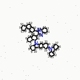 c1ccc2c(-n3c4ccccc4c4cc5cc(-n6c7ccccc7c7ccccc76)ccc5cc43)cc(-c3nc4ccccc4nc3-c3ccc4c(ccc5ccccc54)c3)cc2c1